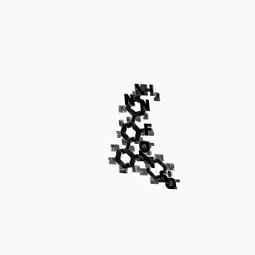 Nc1ncc(-c2ccc(-c3ccccc3[S+]([O-])N3CC[S+]([O-])CC3)cc2F)cn1